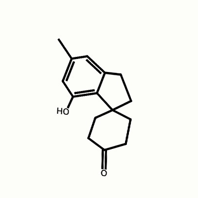 Cc1cc(O)c2c(c1)CCC21CCC(=O)CC1